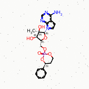 C[C@@]1(O)[C@H](O)[C@@H](COP2(=O)OCC[C@@H](c3ccccc3)O2)O[C@H]1n1ccc2c(N)ncnc21